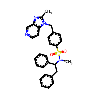 Cc1nc2cnccc2n1Cc1ccc(S(=O)(=O)N(C)C(Cc2ccccc2)c2ccccc2)cc1